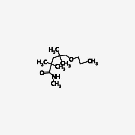 CCCOCC(C)(C)CC(C)(C)C(=O)NC